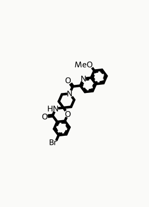 COc1cccc2ccc(C(=O)N3CCC4(CC3)NC(=O)c3cc(Br)ccc3O4)nc12